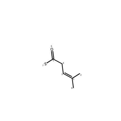 CC(C)=CCC(=O)[S]